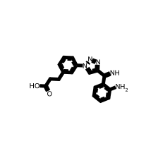 N=C(c1cn(-c2cccc(CCC(=O)O)c2)nn1)c1ccccc1N